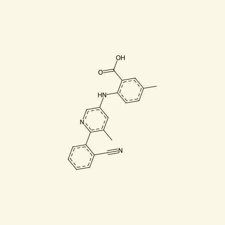 Cc1ccc(Nc2cnc(-c3ccccc3C#N)c(C)c2)c(C(=O)O)c1